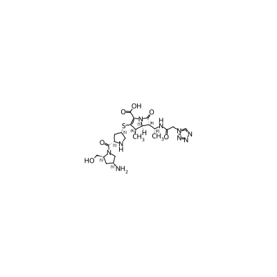 C[C@@H](NC(=O)Cn1cnnn1)[C@H]1C(=O)N2C(C(=O)O)=C(S[C@@H]3CN[C@H](C(=O)N4C[C@@H](N)C[C@H]4CO)C3)[C@H](C)[C@H]12